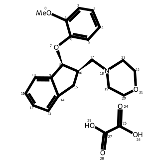 COc1ccccc1O[C@@H]1c2ccccc2C[C@@H]1CN1CCOCC1.O=C(O)C(=O)O